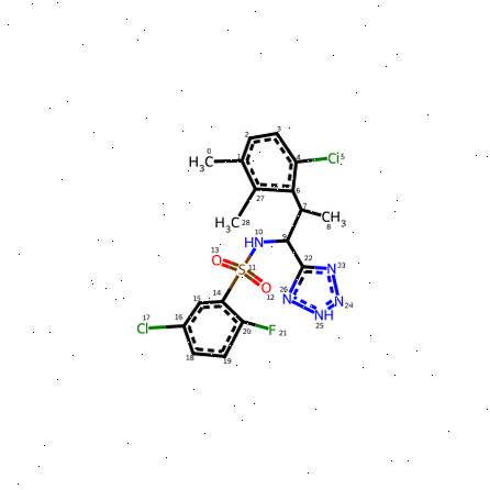 Cc1ccc(Cl)c(C(C)C(NS(=O)(=O)c2cc(Cl)ccc2F)c2nn[nH]n2)c1C